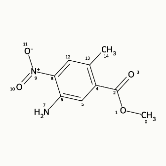 COC(=O)c1cc(N)c([N+](=O)[O-])cc1C